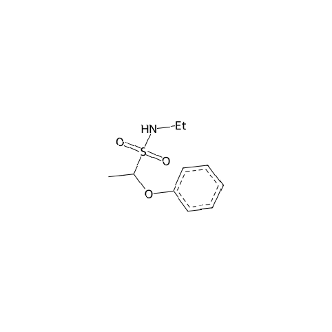 CCNS(=O)(=O)C(C)Oc1ccccc1